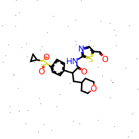 O=Cc1cnc(NC(=O)C(CC2CCOCC2)c2ccc(S(=O)(=O)C3CC3)cc2)s1